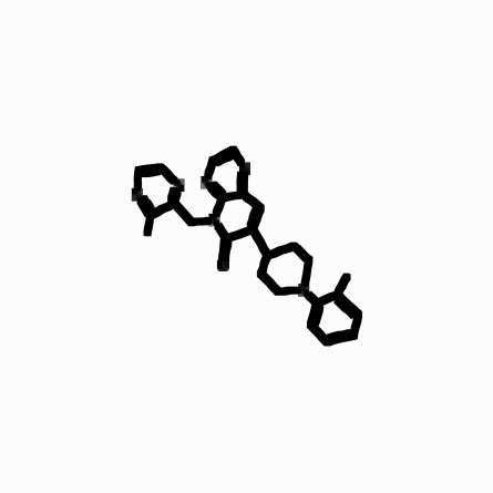 Cc1ccccc1N1CCC(c2cc3nccnc3n(Cc3nccnc3C)c2=O)CC1